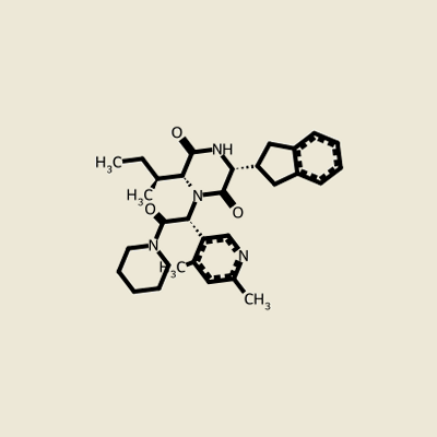 CC[C@H](C)[C@@H]1C(=O)N[C@H](C2Cc3ccccc3C2)C(=O)N1[C@@H](C(=O)N1CCCCC1)c1cnc(C)cc1C